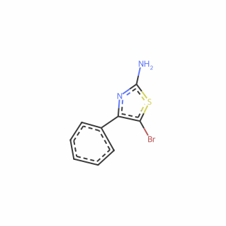 Nc1nc(-c2ccccc2)c(Br)s1